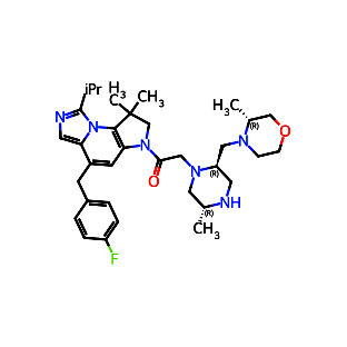 CC(C)c1ncc2c(Cc3ccc(F)cc3)cc3c(n12)C(C)(C)CN3C(=O)CN1C[C@@H](C)NC[C@@H]1CN1CCOC[C@H]1C